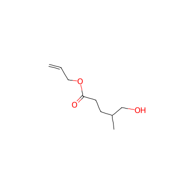 C=CCOC(=O)CCC(C)CO